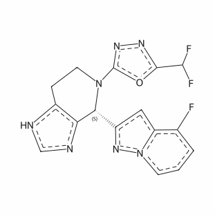 Fc1cccn2nc([C@@H]3c4nc[nH]c4CCN3c3nnc(C(F)F)o3)cc12